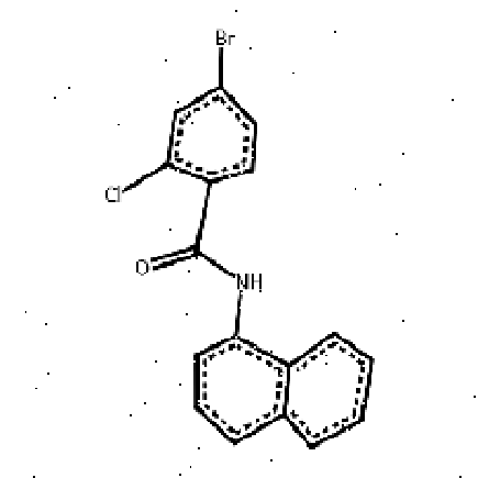 O=C(Nc1cccc2ccccc12)c1ccc(Br)cc1Cl